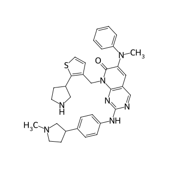 CN1CCC(c2ccc(Nc3ncc4cc(N(C)c5ccccc5)c(=O)n(Cc5ccsc5C5CCNC5)c4n3)cc2)C1